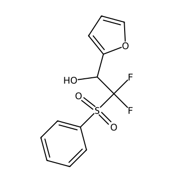 O=S(=O)(c1ccccc1)C(F)(F)C(O)c1ccco1